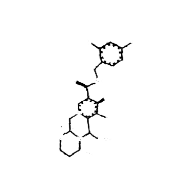 COC1c2c(O)c(=O)c(C(=O)NCc3ccc(F)cc3F)cn2C[C@@H]2OCC[C@@H](C)N12